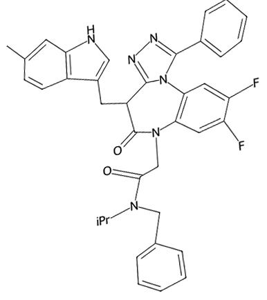 CC(C)N(Cc1ccccc1)C(=O)CN1C(=O)C(Cc2c[nH]c3cc(F)ccc23)c2nnc(-c3ccccc3)n2-c2cc(F)c(F)cc21